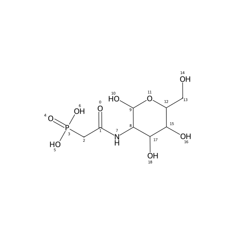 O=C(CP(=O)(O)O)NC1C(O)OC(CO)C(O)C1O